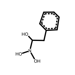 OC(Cc1ccccc1)N(O)O